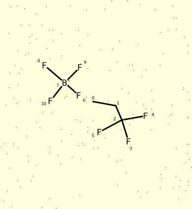 CCC(F)(F)F.F[B-](F)(F)F